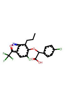 CCCc1c(OC(C(=O)O)c2ccc(Cl)cc2)c(Cl)cc2c(C(F)(F)F)onc12